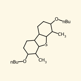 CCCCOC1CCC2C3CCC(OCCCC)C(C)C3SC2C1C